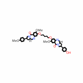 COc1ccc(C2=CN3C(=O)c4cc(OC)c(OCCCCCOc5cc6c(cc5OC)C(=O)N5C=C(c7ccc(O)cc7)C[C@H]5C=N6)cc4N=C[C@@H]3C2)cc1